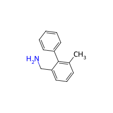 Cc1cccc(CN)c1-c1ccccc1